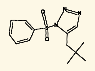 CC(C)(C)Cc1cnnn1S(=O)(=O)c1ccccc1